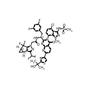 Cn1nc(NS(C)(=O)=O)c2c(Cl)ccc(-n3c([C@H](Cc4cc(F)cc(F)c4)NC(=O)Cn4nc(C(F)F)c5c4C(F)(F)[C@@H]4C[C@H]54)nc4nc(-c5csc(C(C)(C)O)n5)ccc4c3=O)c21